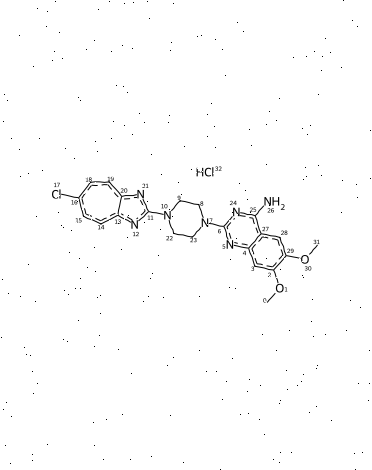 COc1cc2nc(N3CCN(c4nc5ccc(Cl)ccc-5n4)CC3)nc(N)c2cc1OC.Cl